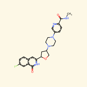 CNC(=O)c1ccc(N2CCN(C3COC(c4cc5ccc(F)cc5c(=O)[nH]4)C3)CC2)cn1